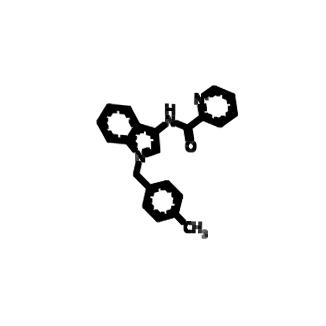 Cc1ccc(Cn2cc(NC(=O)c3ccccn3)c3ccccc32)cc1